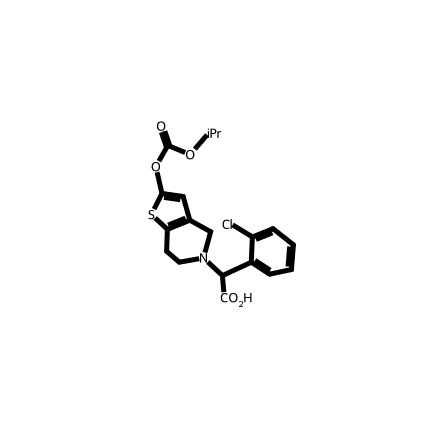 CC(C)OC(=O)Oc1cc2c(s1)CCN(C(C(=O)O)c1ccccc1Cl)C2